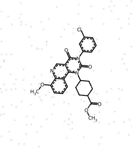 COC(=O)C1CCC(n2c(=O)n(-c3cccc(Cl)c3)c(=O)c3cnc4c(OC)cccc4c32)CC1